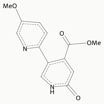 COC(=O)c1cc(=O)[nH]cc1-c1ccc(OC)cn1